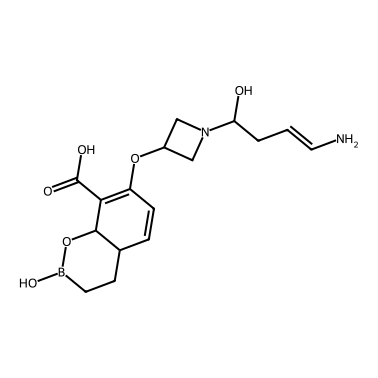 N/C=C/CC(O)N1CC(OC2=C(C(=O)O)C3OB(O)CCC3C=C2)C1